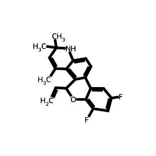 C=CC1Oc2c(F)cc(F)cc2-c2ccc3c(c21)C(C)=CC(C)(C)N3